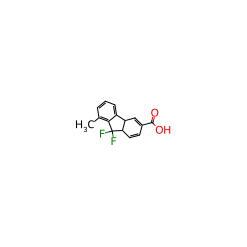 Cc1cccc2c1C(F)(F)C1C=CC(C(=O)O)=CC21